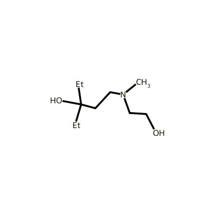 CCC(O)(CC)CCN(C)CCO